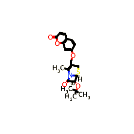 CC1=C(COc2ccc3ccc(=O)oc3c2)CS[C@@H]2[C@@H](OC(C)(C)C)C(=O)N12